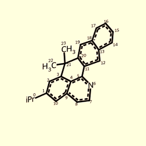 CC(C)c1cc2c3c(nccc3c1)-c1cc3ccccc3cc1C2(C)C